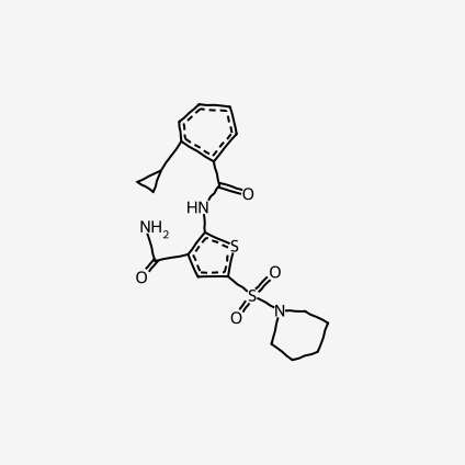 NC(=O)c1cc(S(=O)(=O)N2CCCCC2)sc1NC(=O)c1ccccc1C1CC1